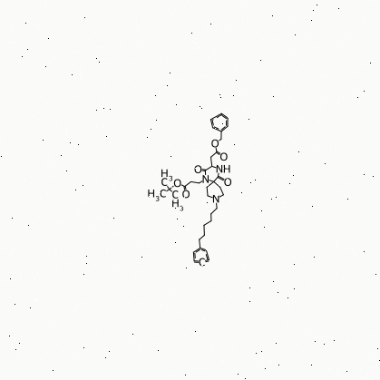 CC(C)(C)OC(=O)CCN1C(=O)C(CC(=O)OCc2ccccc2)NC(=O)C12CCN(CCCCCCc1ccccc1)CC2